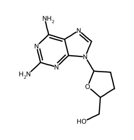 Nc1nc(N)c2ncn(C3CCC(CO)O3)c2n1